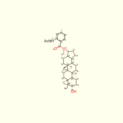 CC(=O)Nc1ccccc1C(=O)OC[C@]12CCCC1C1CCC3[C@@]4(C)CC[C@H](O)C(C)(C)C4CC[C@@]3(C)[C@]1(C)CC2